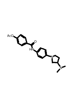 CC(=O)Oc1ccc(C(=O)Nc2ccc(N3CCC(N(C)C)C3)cc2)cc1